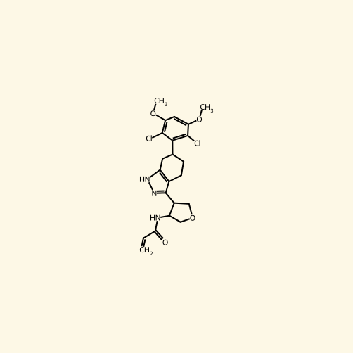 C=CC(=O)NC1COCC1c1n[nH]c2c1CCC(c1c(Cl)c(OC)cc(OC)c1Cl)C2